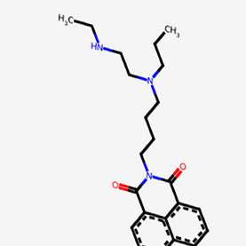 CCCN(CCCCN1C(=O)c2cccc3cccc(c23)C1=O)CCNCC